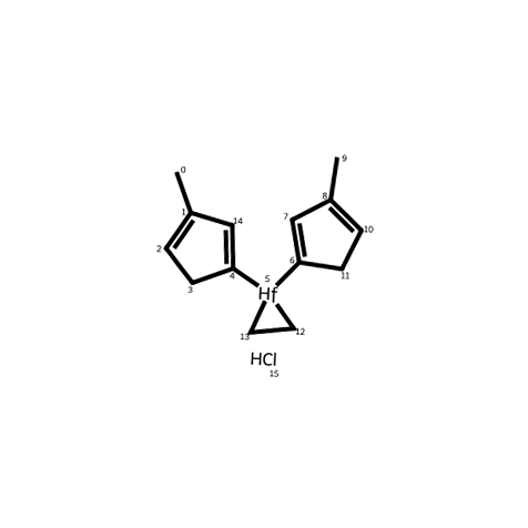 CC1=CC[C]([Hf]2([C]3=CC(C)=CC3)[CH2][CH2]2)=C1.Cl